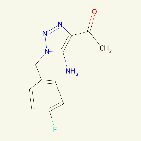 CC(=O)c1nnn(Cc2ccc(F)cc2)c1N